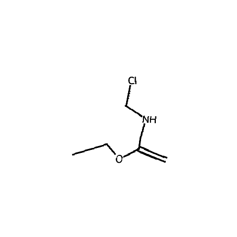 C=C(NCCl)OCC